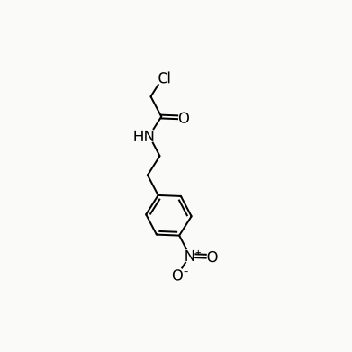 O=C(CCl)NCCc1ccc([N+](=O)[O-])cc1